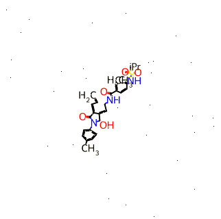 C=C/C=C1/C(=O)N(c2ccc(C)cc2)C(O)/C1=C/CNC(=O)C(/C=C\C(=C)NS(=O)(=O)C(C)C)=C/C